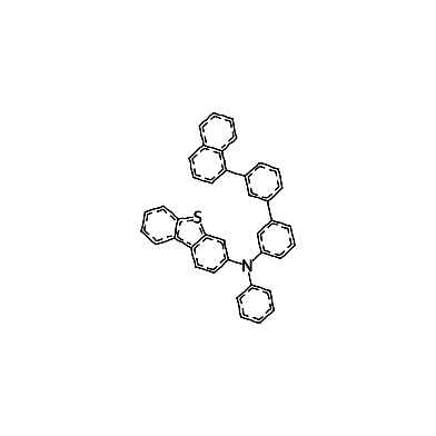 c1ccc(N(c2cccc(-c3cccc(-c4cccc5ccccc45)c3)c2)c2ccc3c(c2)sc2ccccc23)cc1